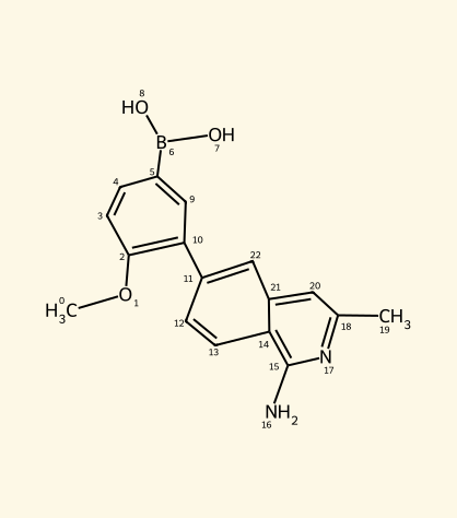 COc1ccc(B(O)O)cc1-c1ccc2c(N)nc(C)cc2c1